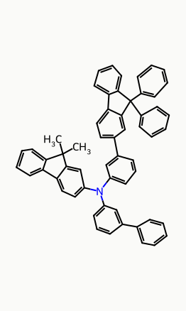 CC1(C)c2ccccc2-c2ccc(N(c3cccc(-c4ccccc4)c3)c3cccc(-c4ccc5c(c4)C(c4ccccc4)(c4ccccc4)c4ccccc4-5)c3)cc21